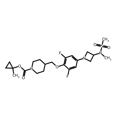 CN(C1CN(c2cc(F)c(OCC3CCN(C(=O)OC4(C)CC4)CC3)c(F)c2)C1)S(C)(=O)=O